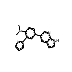 CN(C)c1ccc(-c2cnc3[nH]ccc3c2)cc1-c1cccs1